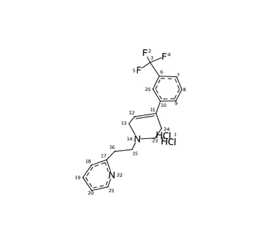 Cl.Cl.FC(F)(F)c1cccc(C2=CCN(CCc3ccccn3)CC2)c1